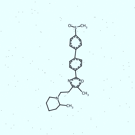 Cc1oc(-c2ccc(-c3ccc([S+](C)[O-])cc3)cc2)nc1CCN1CCCCC1C